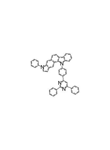 c1ccc(-c2cc(-c3ccc(-n4c5ccccc5c5ccc6cc7c(ccn7-c7ccccc7)cc6c54)cc3)nc(-c3ccccc3)n2)cc1